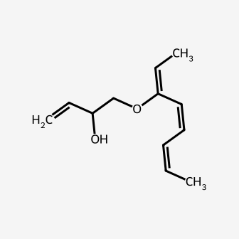 C=CC(O)COC(/C=C\C=C/C)=C/C